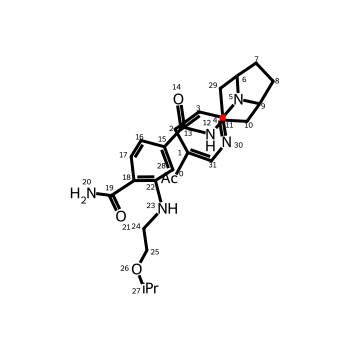 CC(=O)c1ccc(N2C3CCC2CC(NC(=O)c2ccc(C(N)=O)c(NCCOC(C)C)c2)C3)nc1